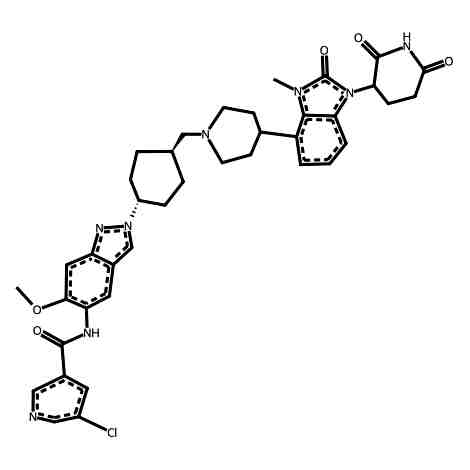 COc1cc2nn([C@H]3CC[C@H](CN4CCC(c5cccc6c5n(C)c(=O)n6C5CCC(=O)NC5=O)CC4)CC3)cc2cc1NC(=O)c1cncc(Cl)c1